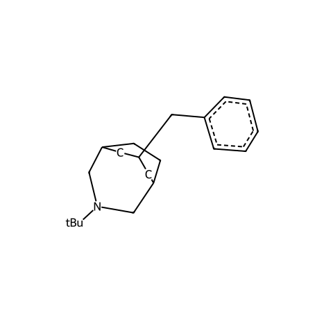 CC(C)(C)N1CC2CCC(CC(Cc3ccccc3)C2)C1